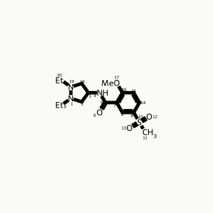 CCN1CC(NC(=O)c2cc(S(C)(=O)=O)ccc2OC)CN1CC